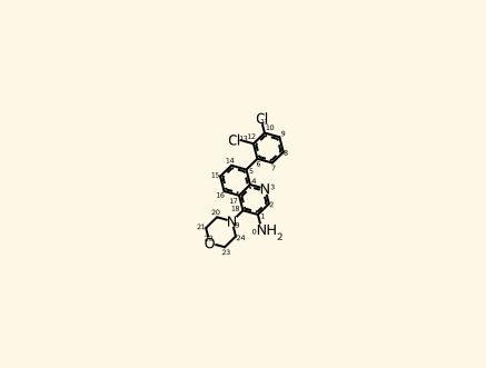 Nc1cnc2c(-c3cccc(Cl)c3Cl)cccc2c1N1CCOCC1